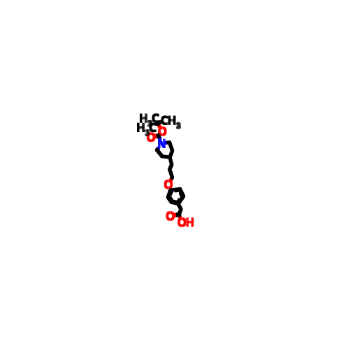 CC(C)(C)OC(=O)N1CCC(CCCOc2ccc(CC(=O)O)cc2)CC1